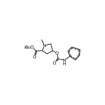 CC(C)COC(=O)C1CC(OC(=O)Nc2ccccc2)CN1C